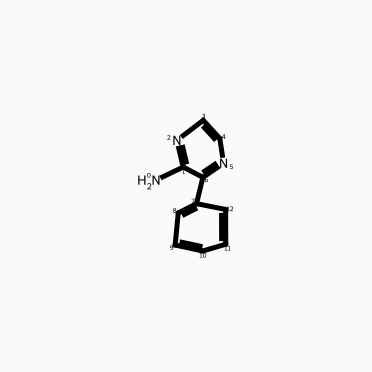 Nc1nccnc1-c1ccccc1